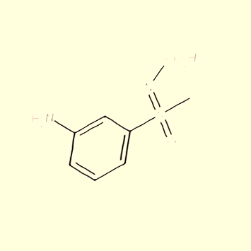 CS(=O)(=NC(=O)O)c1cccc(N)c1